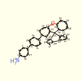 Nc1ccc(-c2ccc(-c3ccc4c(c3)C3(c5ccccc5O4)c4ccccc4-c4ccccc43)cc2)cc1